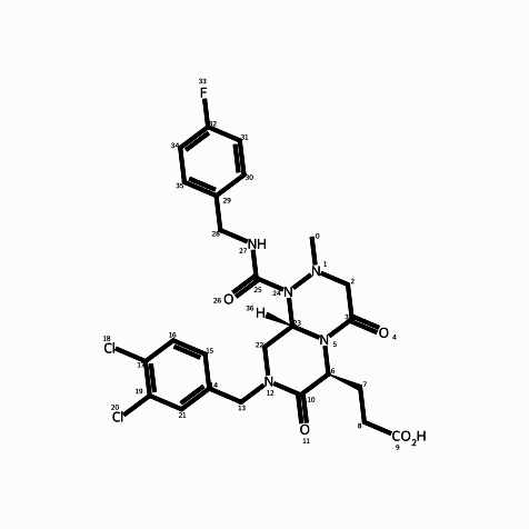 CN1CC(=O)N2[C@@H](CCC(=O)O)C(=O)N(Cc3ccc(Cl)c(Cl)c3)C[C@@H]2N1C(=O)NCc1ccc(F)cc1